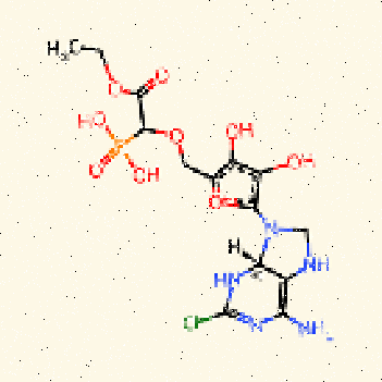 CCOC(=O)C(OCc1oc(N2CNC3=C(N)N=C(Cl)N[C@@H]32)c(O)c1O)P(=O)(O)O